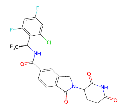 O=C1CCC(N2Cc3cc(C(=O)N[C@H](c4c(F)cc(F)cc4Cl)C(F)(F)F)ccc3C2=O)C(=O)N1